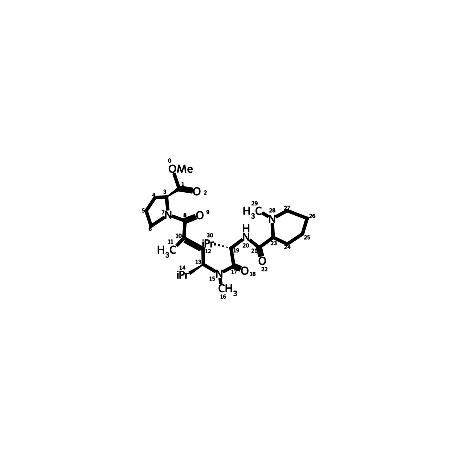 COC(=O)[C@@H]1CCCN1C(=O)/C(C)=C/[C@H](C(C)C)N(C)C(=O)[C@@H](NC(=O)C1CCCCN1C)C(C)C